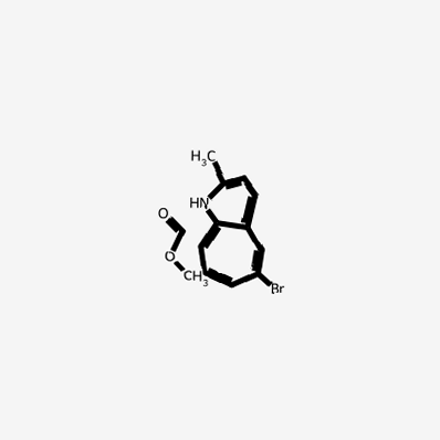 CC1=CC=C2C=C(Br)C=CC=C2N1.COC=O